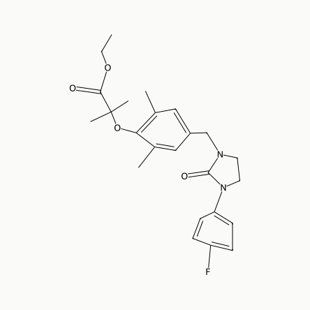 CCOC(=O)C(C)(C)Oc1c(C)cc(CN2CCN(c3ccc(F)cc3)C2=O)cc1C